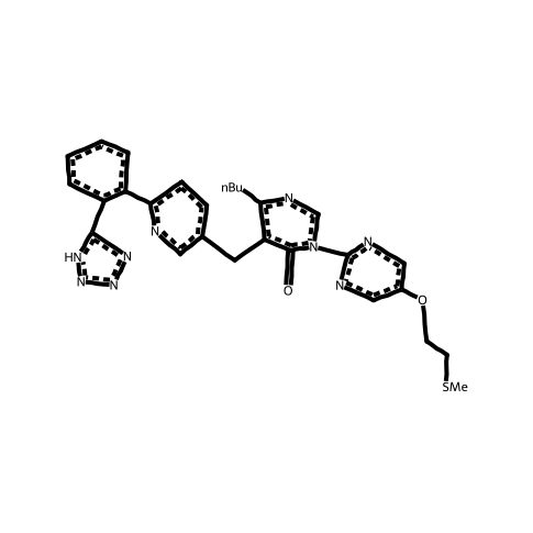 CCCCc1ncn(-c2ncc(OCCSC)cn2)c(=O)c1Cc1ccc(-c2ccccc2-c2nnn[nH]2)nc1